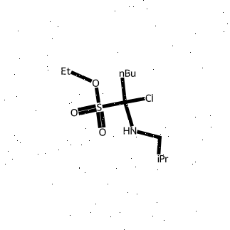 CCCCC(Cl)(NCC(C)C)S(=O)(=O)OCC